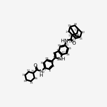 O=C(Nc1ccc(-c2cc3cc(NC(=O)C45CC6CC(CC(C6)C4)C5)ccc3[nH]2)cc1)C1CCCCC1